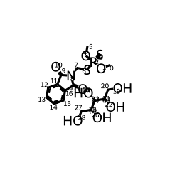 COP(=S)(OC)SCN1C(=O)c2ccccc2C1=O.OC[C@@H](O)[C@@H](O)[C@@H](O)CO